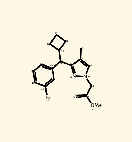 COC(=O)Cn1cc(C)c(C(c2cccc(Br)c2)C2CCC2)n1